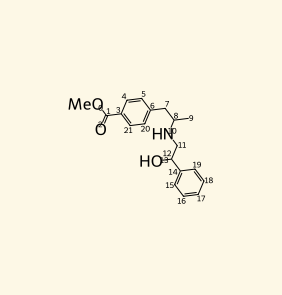 COC(=O)c1ccc(CC(C)NCC(O)c2ccccc2)cc1